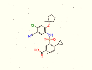 CC1(Oc2cc(Cl)c(C#N)cc2NS(=O)(=O)c2cc(C(=O)O)ccc2C2CC2)CCCC1